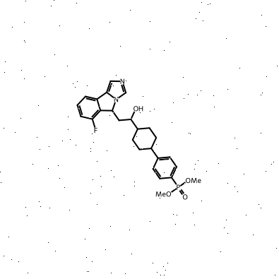 COP(=O)(OC)c1ccc(C2CCC(C(O)CC3c4c(F)cccc4-c4cncn43)CC2)cc1